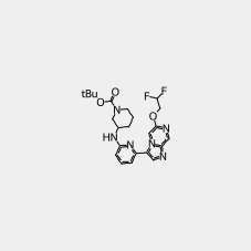 CC(C)(C)OC(=O)N1CCCC(Nc2cccc(-c3cnc4cnc(OCC(F)F)cn34)n2)C1